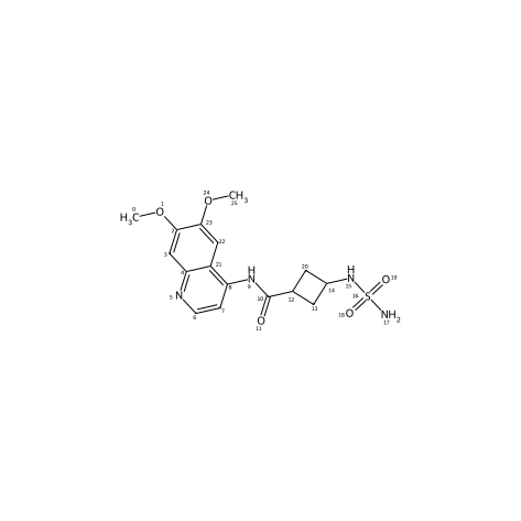 COc1cc2nccc(NC(=O)C3CC(NS(N)(=O)=O)C3)c2cc1OC